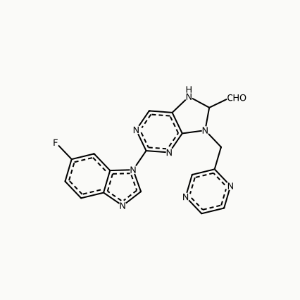 O=CC1Nc2cnc(-n3cnc4ccc(F)cc43)nc2N1Cc1cnccn1